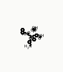 CC(=O)Nc1ccc(CN(C(=O)CCC(=O)NCc2cccc3ccccc23)c2ccccc2Oc2cccc(CN)c2)cc1.O=C(O)C(F)(F)F